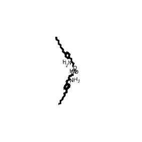 CCCCCCCCc1ccc(CC(N)CCO[PH](=O)OCCC(N)Cc2ccc(CCCCCCCC)cc2)cc1